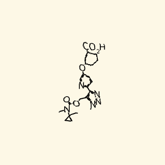 CN(C(=O)OCc1c(-c2ccc(O[C@H]3CCC[C@H](C(=O)O)C3)cn2)nnn1C)C1(C)CC1